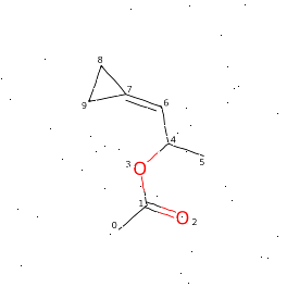 CC(=O)OC(C)C=C1CC1